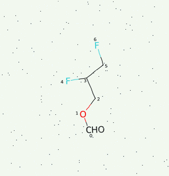 O=COCC(F)CF